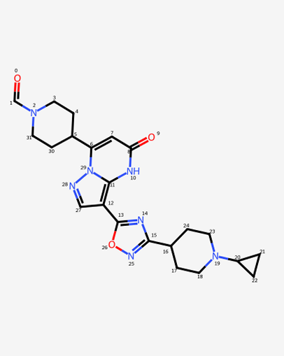 O=CN1CCC(c2cc(=O)[nH]c3c(-c4nc(C5CCN(C6CC6)CC5)no4)cnn23)CC1